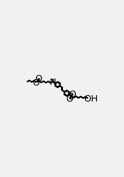 CCCCOC(=O)CCCCCN(C)c1ccc(C=Cc2ccc(S(=O)(=O)CCCCCCO)cc2)cc1